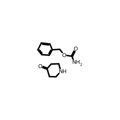 NC(=O)OCc1ccccc1.O=C1CCNCC1